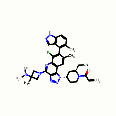 C=CC(=O)N1CC[C@H](n2nnc3c(N4CC(C)(N(C)C)C4)nc4c(F)c(-c5c(C)ccc6[nH]ncc56)c(C)cc4c32)C[C@H]1CC#N